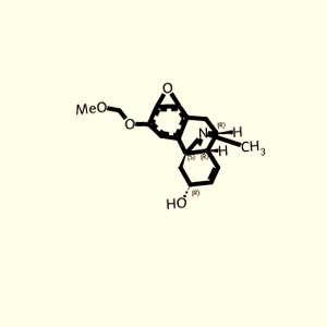 COCOc1cc2c(c3c1O3)C[C@@H]1[C@@H]3C=C[C@H](O)C[C@]23CCN1C